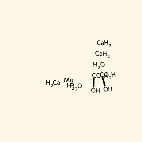 O.O.O=C(O)O.O=C(O)O.[CaH2].[CaH2].[CaH2].[MgH2]